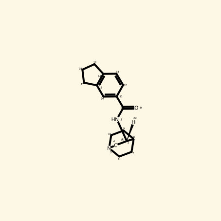 O=C(N[C@H]1CN2CCC1CC2)c1ccc2c(c1)CCC2